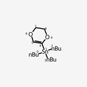 CCC[CH2][Sn]([CH2]CCC)([CH2]CCC)[C]1=COCCO1